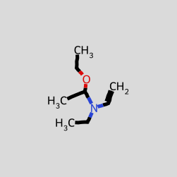 C=CN(CC)C(C)OCC